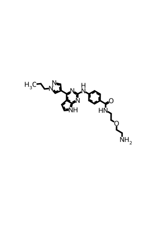 CCCn1cc(-c2nc(Nc3ccc(C(=O)NCCOCCN)cc3)nc3[nH]ccc23)cn1